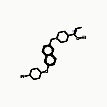 C/C=C(\OCC)C1CCN(Cc2ccc3cc(OC4CCC(C(C)C)CC4)ccc3c2)CC1